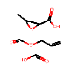 C=CCOC=O.CC1OC1C(=O)O.O=CO